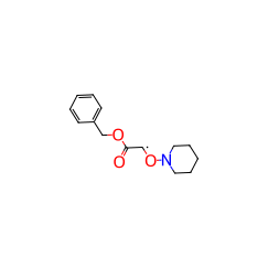 O=C([CH]ON1CCCCC1)OCc1ccccc1